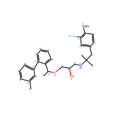 COc1ccc(CC(C)(C)NC[C@@H](O)COC(C)c2ccccc2-c2cccc(C)c2)cc1F